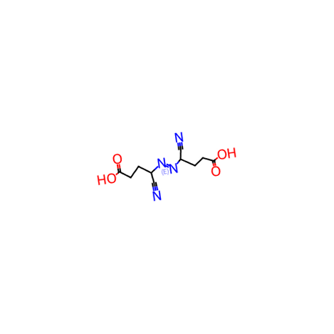 N#CC(CCC(=O)O)/N=N/C(C#N)CCC(=O)O